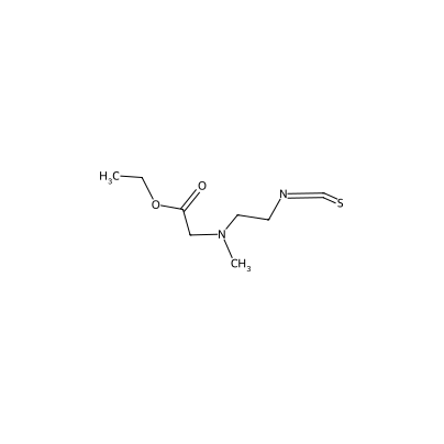 CCOC(=O)CN(C)CCN=C=S